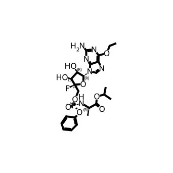 CCOc1nc(N)nc2c1ncn2[C@@H]1O[C@](F)(CO[P@@](=O)(N[C@H](C)C(=O)OC(C)C)Oc2ccccc2)[C@@H](O)[C@H]1O